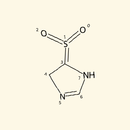 O=S(=O)=C1CN=CN1